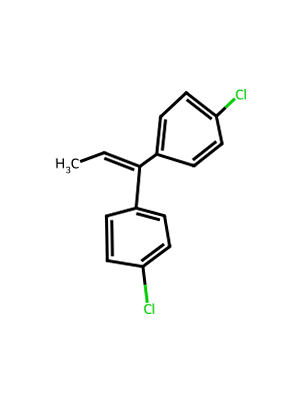 CC=C(c1ccc(Cl)cc1)c1ccc(Cl)cc1